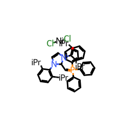 CC(C)c1cccc(C(C)C)c1N1C=CN(c2c(C(C)C)cccc2C(C)C)C1C=P(c1ccccc1)(c1ccccc1)c1ccccc1.[Cl][Ni][Cl]